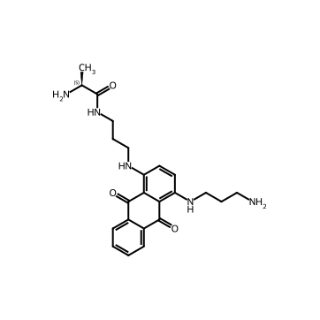 C[C@H](N)C(=O)NCCCNc1ccc(NCCCN)c2c1C(=O)c1ccccc1C2=O